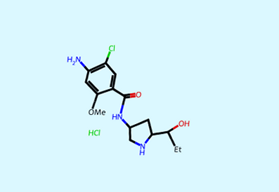 CCC(O)C1CC(NC(=O)c2cc(Cl)c(N)cc2OC)CN1.Cl